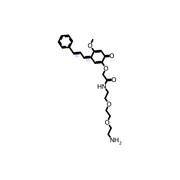 COC1=CC(=O)C(OCC(=O)NCCOCCOCCN)=C/C1=C/C=C/c1ccccc1